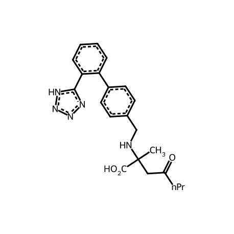 CCCC(=O)CC(C)(NCc1ccc(-c2ccccc2-c2nnn[nH]2)cc1)C(=O)O